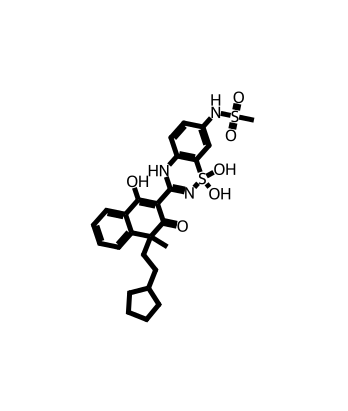 CC1(CCC2CCCC2)C(=O)C(C2=NS(O)(O)c3cc(NS(C)(=O)=O)ccc3N2)=C(O)c2ccccc21